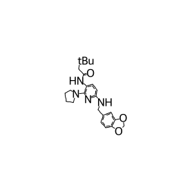 CC(C)(C)CC(=O)Nc1ccc(NCc2ccc3c(c2)OCO3)nc1N1CCCC1